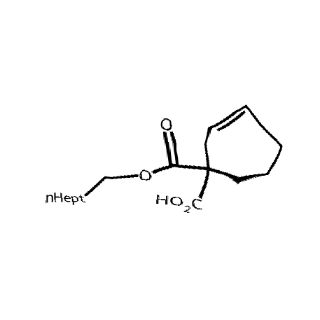 CCCCCCCCOC(=O)C1(C(=O)O)C=CCCC1